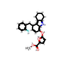 COC(=O)c1ccc(OC2=C3N=C4CCCCC4=C3C(Cc3ccccc3F)C=C2)o1